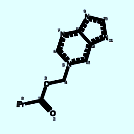 CC(C)C(=O)OCn1cnc2ncnc-2c1